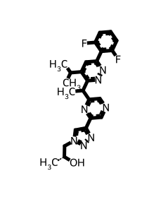 CC(C)c1cc(-c2c(F)cccc2F)nnc1C(C)c1cncc(-c2cn(C[C@@H](C)O)nn2)n1